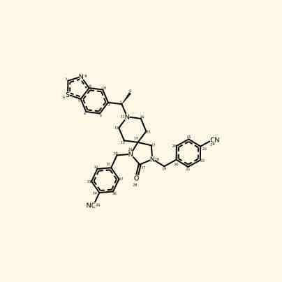 C[C@H](c1ccc2scnc2c1)N1CCC2(CC1)CN(Cc1ccc(C#N)cc1)C(=O)N2Cc1ccc(C#N)cc1